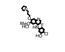 COc1cc2c(Nc3cc(O)c(Cl)cc3F)ccnc2cc1OCCCN1CCCC1.Cl